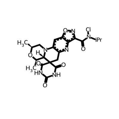 CC(C)N(Cl)C(=O)c1noc2cc3c(nc12)CC1(C(=O)NC(=O)NC1=O)[C@@H]1[C@@H](C)O[C@@H](C)CN31